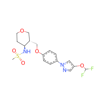 CS(=O)(=O)N[C@H]1CCOC[C@@H]1COc1ccc(-n2cc(OC(F)F)cn2)cc1